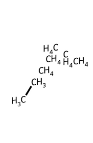 C.C.C.C.C.CC